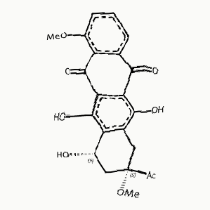 COc1cccc2c1C(=O)c1c(O)c3c(c(O)c1C2=O)C[C@@](OC)(C(C)=O)C[C@@H]3O